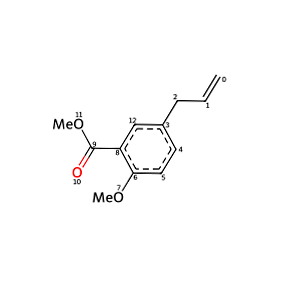 C=CCc1ccc(OC)c(C(=O)OC)c1